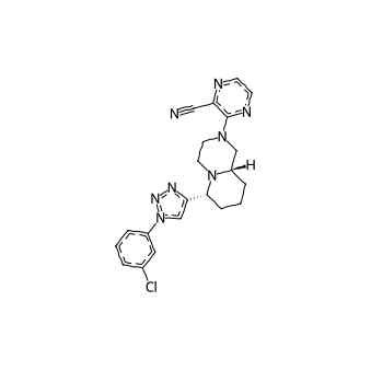 N#Cc1nccnc1N1CCN2[C@@H](CCC[C@@H]2c2cn(-c3cccc(Cl)c3)nn2)C1